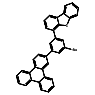 CC(C)(C)c1cc(-c2ccc3c4ccccc4c4ccccc4c3c2)cc(-c2cccc3c2sc2ccccc23)c1